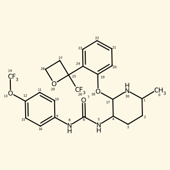 CC1CCC(NC(=O)Nc2ccc(OC(F)(F)F)cc2)C(Oc2ccccc2C2(C(F)(F)F)CCO2)N1